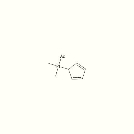 C[C](=O)[Pt]([CH3])([CH3])[CH]1C=CC=C1